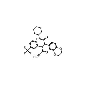 C#CC(=O)N(c1cccc(C(F)(F)F)c1)C(C(=O)NC1CCCCC1)c1ccc2c(c1)OCCO2